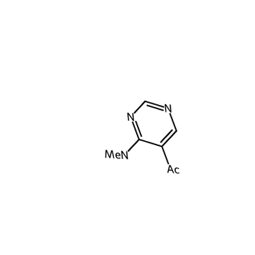 CNc1ncncc1C(C)=O